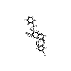 COc1cc2c(Oc3ccc(C)cc3F)ccnc2cc1OCc1ccccc1